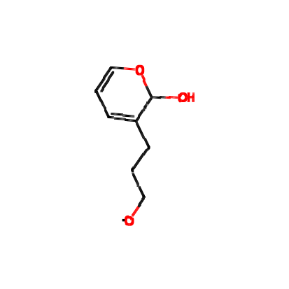 [O]CCCC1=CC=COC1O